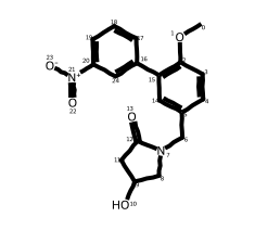 COc1ccc(CN2CC(O)CC2=O)cc1-c1cccc([N+](=O)[O-])c1